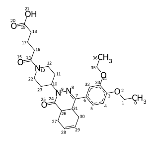 CCOc1ccc(C2=NN(C3CCN(C(=O)CCCC(=O)O)CC3)C(=O)C3CC=CCC23)cc1OCC